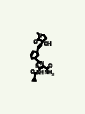 CN1CC[C@@](O)(C#Cc2cccc(-c3nc(C(N)=O)c(NC(=O)C4CC4)s3)c2)C1=O